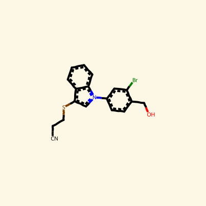 N#CCCSc1cn(-c2ccc(CO)c(Br)c2)c2ccccc12